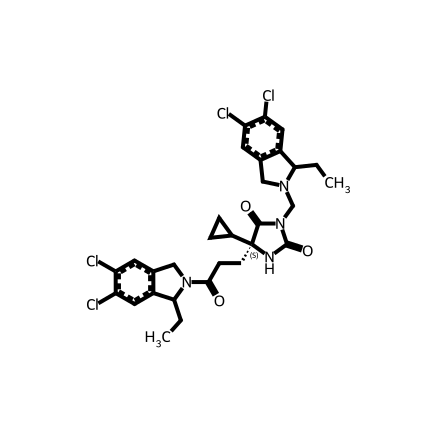 CCC1c2cc(Cl)c(Cl)cc2CN1CN1C(=O)N[C@@](CCC(=O)N2Cc3cc(Cl)c(Cl)cc3C2CC)(C2CC2)C1=O